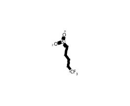 O=S(=O)=[C]CCCC(F)(F)F